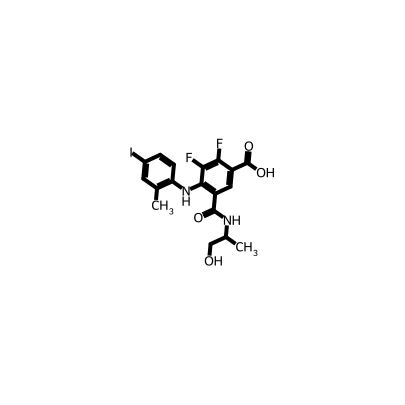 Cc1cc(I)ccc1Nc1c(C(=O)NC(C)CO)cc(C(=O)O)c(F)c1F